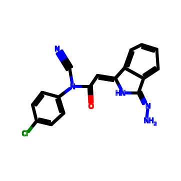 N#CN(C(=O)C=C1NC(=NN)c2ccccc21)c1ccc(Cl)cc1